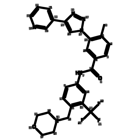 Cc1ccc(C(=O)Nc2ccc(CN3CCOCC3)c(C(F)(F)F)c2)cc1-n1cc(-c2cccnc2)nn1